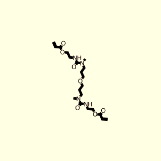 C=CC(=O)OCCNC(=O)N(C)CCCOCCCN(C)C(=O)NCCOC(=O)C=C